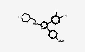 COc1ccc(-n2nc(NCC3CCNCC3)cc2-c2ccc(C#N)c(F)c2)cc1